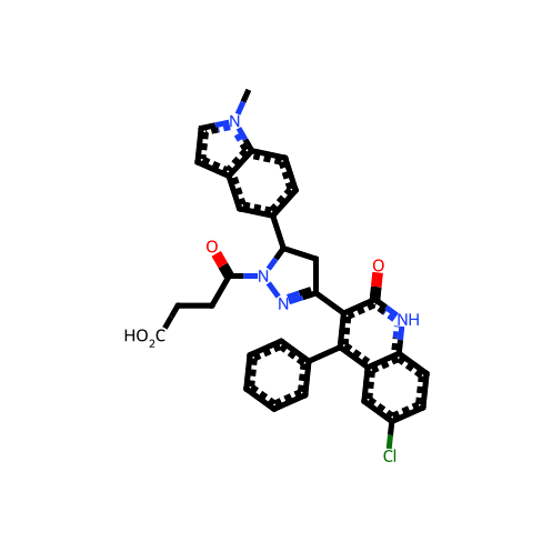 Cn1ccc2cc(C3CC(c4c(-c5ccccc5)c5cc(Cl)ccc5[nH]c4=O)=NN3C(=O)CCC(=O)O)ccc21